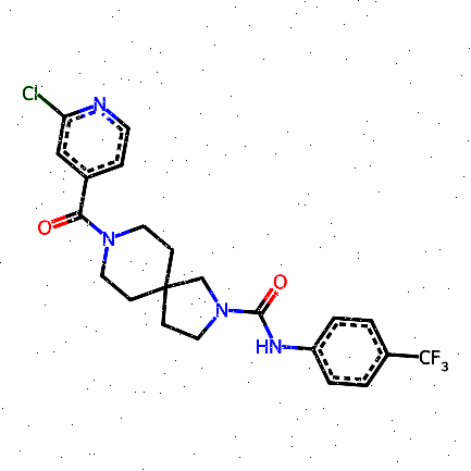 O=C(Nc1ccc(C(F)(F)F)cc1)N1CCC2(CCN(C(=O)c3ccnc(Cl)c3)CC2)C1